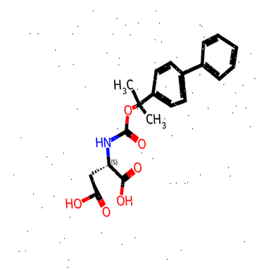 CC(C)(OC(=O)N[C@@H](CC(=O)O)C(=O)O)c1ccc(-c2ccccc2)cc1